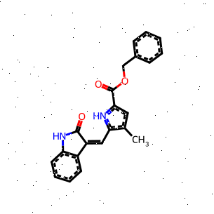 Cc1cc(C(=O)OCc2ccccc2)[nH]c1C=C1C(=O)Nc2ccccc21